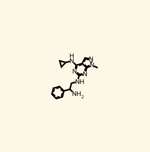 Cn1ncc2c(NC3CC3)nc(NCC(N)c3ccccc3)nc21